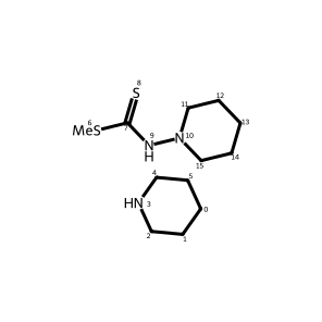 C1CCNCC1.CSC(=S)NN1CCCCC1